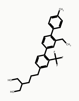 CCc1cc(-c2ccc(CCCC(CO)CO)cc2C(F)(F)F)ccc1-c1ccc(C)cc1